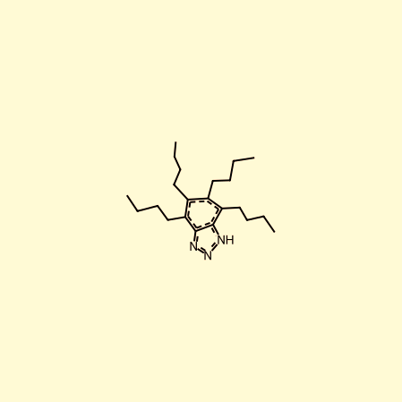 CCCCc1c(CCCC)c(CCCC)c2[nH]nnc2c1CCCC